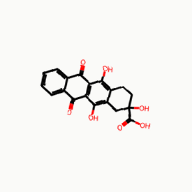 O=C1c2ccccc2C(=O)c2c(O)c3c(c(O)c21)CCC(O)(C(=O)O)C3